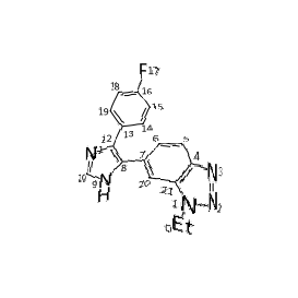 CCn1nnc2ccc(-c3[nH]cnc3-c3ccc(F)cc3)cc21